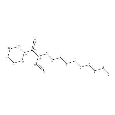 CCCCCCCCCCC([C]=O)C(=O)C1CCCCC1